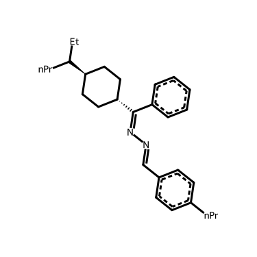 CCCc1ccc(C=NN=C(c2ccccc2)[C@H]2CC[C@H](C(CC)CCC)CC2)cc1